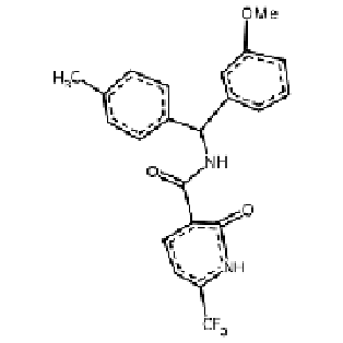 COc1cccc(C(NC(=O)c2ccc(C(F)(F)F)[nH]c2=O)c2ccc(C)cc2)c1